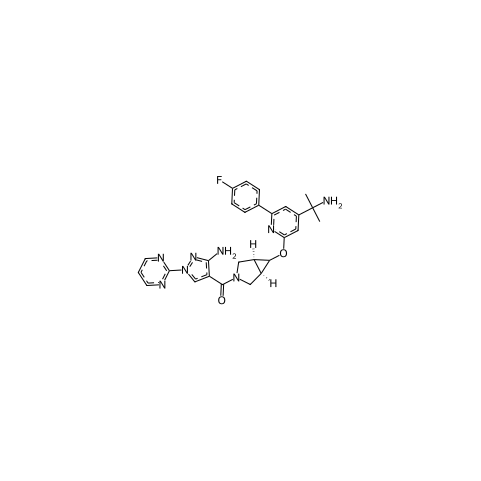 CC(C)(N)c1cc(OC2[C@H]3CN(C(=O)c4cn(-c5ncccn5)nc4N)C[C@@H]23)nc(-c2ccc(F)cc2)c1